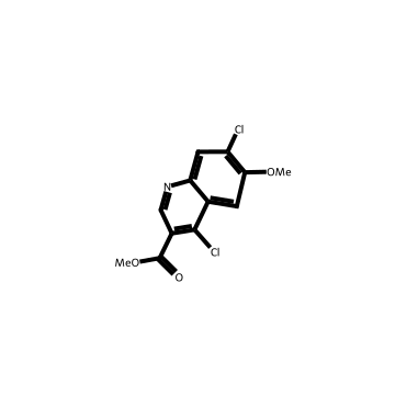 COC(=O)c1cnc2cc(Cl)c(OC)cc2c1Cl